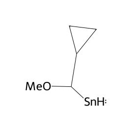 CO[CH]([SnH])C1CC1